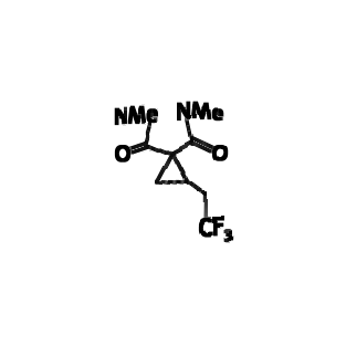 CNC(=O)C1(C(=O)NC)CC1CC(F)(F)F